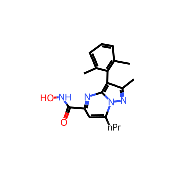 CCCc1cc(C(=O)NO)nc2c(-c3c(C)cccc3C)c(C)nn12